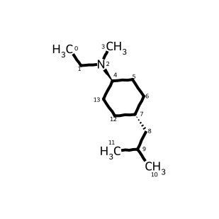 CCN(C)[C@H]1CC[C@H](CC(C)C)CC1